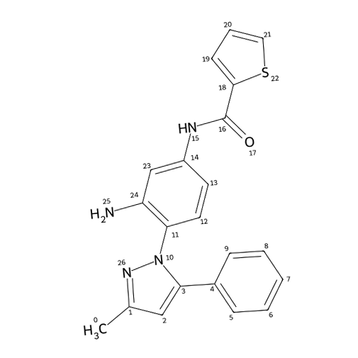 Cc1cc(-c2ccccc2)n(-c2ccc(NC(=O)c3cccs3)cc2N)n1